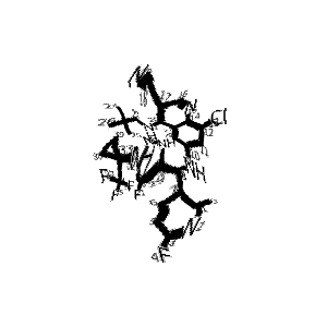 Cc1nc(F)ccc1[C@H](Nc1cc(Cl)c2ncc(C#N)c(NCC(C)(C)C)c2c1)C1=C(F)N(C2(C(F)(F)F)CC2)NN1